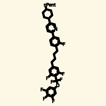 CCCCCC1CCC(c2ccc(-c3ccc(CCCCc4cc(F)c(C(F)(F)Oc5cc(F)c(F)c(F)c5)c(F)c4)c(F)c3)nc2)CC1